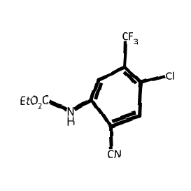 CCOC(=O)Nc1cc(C(F)(F)F)c(Cl)cc1C#N